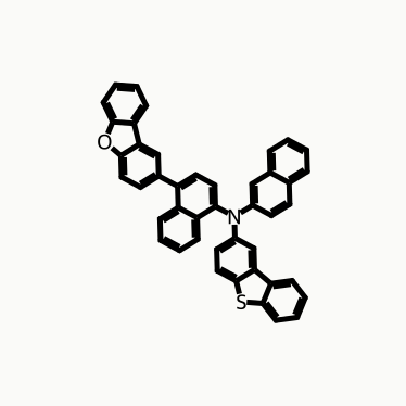 c1ccc2cc(N(c3ccc4sc5ccccc5c4c3)c3ccc(-c4ccc5oc6ccccc6c5c4)c4ccccc34)ccc2c1